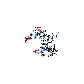 CCCc1ccc([C@@H]2[C@@H](OCc3ccc4c(c3)N(CCCOC)CCO4)CN(C(=O)O)C[C@H]2O[Si](C(C)C)(C(C)C)C(C)C)cc1